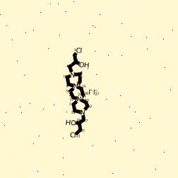 OC(CCl)CN1CC[N+]2(CC1)CC[N+]1(CCN(CC(O)CCl)CC1)CC2.[I-].[I-]